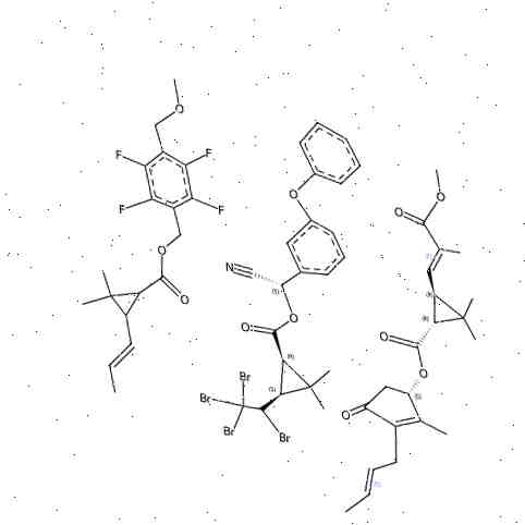 C/C=C/CC1=C(C)[C@@H](OC(=O)[C@@H]2[C@@H](/C=C(\C)C(=O)OC)C2(C)C)CC1=O.CC1(C)[C@H](C(=O)O[C@H](C#N)c2cccc(Oc3ccccc3)c2)[C@@H]1C(Br)C(Br)(Br)Br.CC=CC1C(C(=O)OCc2c(F)c(F)c(COC)c(F)c2F)C1(C)C